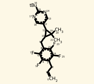 C=CCc1c(F)c(F)c(CC2C(c3cnc(C(C)(C)C)nc3)C2(C)C)c(F)c1F